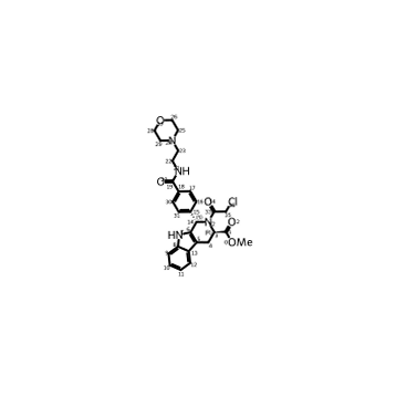 COC(=O)[C@H]1Cc2c([nH]c3ccccc23)[C@H](c2ccc(C(=O)NCCN3CCOCC3)cc2)N1C(=O)CCl